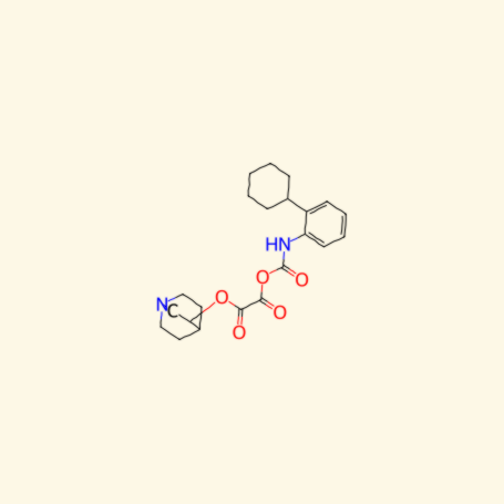 O=C(Nc1ccccc1C1CCCCC1)OC(=O)C(=O)OC1CN2CCC1CC2